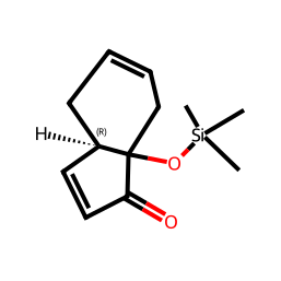 C[Si](C)(C)OC12CC=CC[C@@H]1C=CC2=O